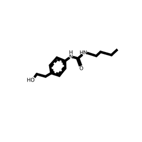 CCCCNC(=O)Nc1ccc(CCO)cc1